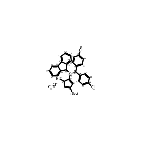 CCC1C=C(C(C)(C)C)C=[C]1[Zr+2](=[C](c1ccc(Cl)cc1)c1ccc(Cl)cc1)[CH]1c2ccccc2-c2ccccc21.[Cl-].[Cl-]